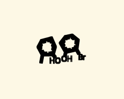 Cc1ccccc1O.Oc1ccccc1Br